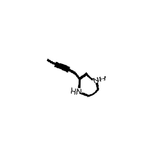 CC#CC1CNCCN1